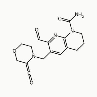 NC(=O)N1CCCc2cc(CN3CCOCC3=C=O)c(C=O)nc21